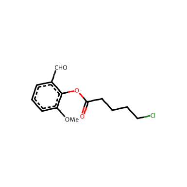 COc1cccc(C=O)c1OC(=O)CCCCCl